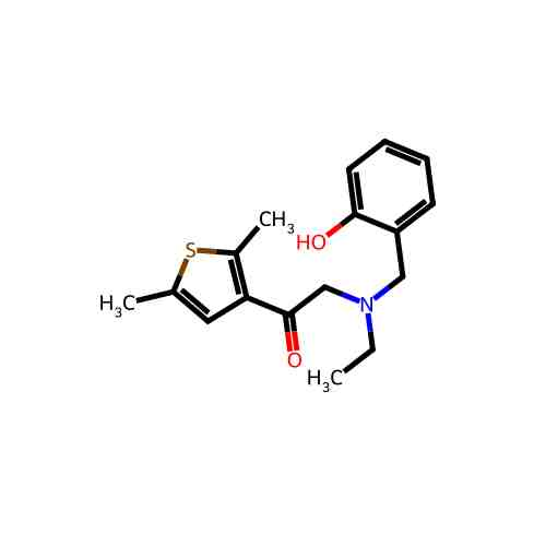 CCN(CC(=O)c1cc(C)sc1C)Cc1ccccc1O